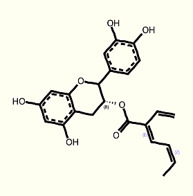 C=C/C(=C\C=C/C)C(=O)O[C@@H]1Cc2c(O)cc(O)cc2OC1c1ccc(O)c(O)c1